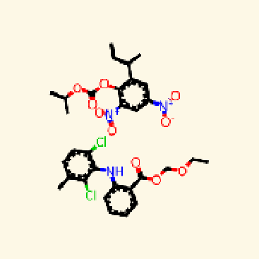 CCC(C)c1cc([N+](=O)[O-])cc([N+](=O)[O-])c1OC(=O)OC(C)C.CCOCOC(=O)c1ccccc1Nc1c(Cl)ccc(C)c1Cl